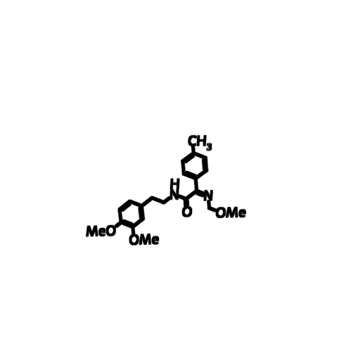 COC/N=C(\C(=O)NCCc1ccc(OC)c(OC)c1)c1ccc(C)cc1